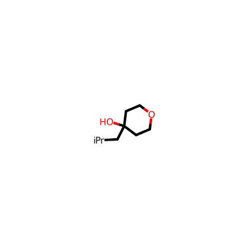 CC(C)CC1(O)CCOCC1